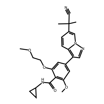 COCCOc1cc(-c2cnn3cc(C(C)(C)C#N)ccc23)cc(OC)c1C(=O)NC1CC1